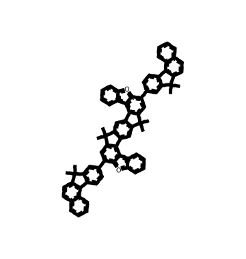 CC1(C)c2cc(-c3cc4c(c5c3oc3ccccc35)-c3cc5c(cc3C4(C)C)-c3c(cc(-c4ccc6c(c4)C(C)(C)c4ccc7ccccc7c4-6)c4oc6ccccc6c34)C5(C)C)ccc2-c2c1ccc1ccccc21